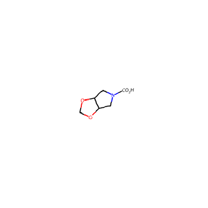 O=C(O)N1CC2OCOC2C1